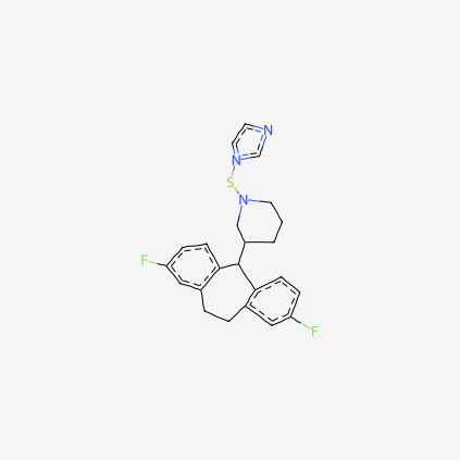 Fc1ccc2c(c1)CCc1cc(F)ccc1C2C1CCCN(Sn2ccnc2)C1